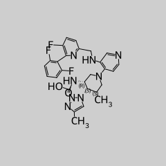 Cc1cn([C@H]2[C@@H](C)CN(c3ccncc3NCc3ccc(F)c(-c4c(F)cccc4F)n3)C[C@H]2NC(=O)O)nn1